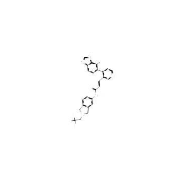 O=C(/C=C/c1cnccc1-c1ccc2nc[nH]c2c1F)Nc1ccc2c(c1)CN(CC(F)(F)F)C2